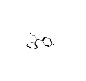 O=COCC(c1ccc(Cl)cc1)c1cncs1